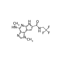 CNc1nc2[nH]c(C(=O)NCC(F)(F)F)cc2c2c1ncn2C